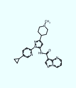 CN1CCC(c2cc(NC(=O)c3cnn4cccnc34)n(-c3ccc(C4CC4)cn3)n2)CC1